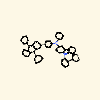 c1ccc(-c2ccccc2-n2c3ccccc3c3cc(N(c4ccccc4)c4ccc(-c5ccc6c(-c7ccccc7)c7ccccc7c(-c7ccccc7)c6c5)cc4)ccc32)cc1